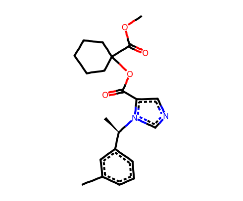 COC(=O)C1(OC(=O)c2cncn2[C@H](C)c2cccc(C)c2)CCCCC1